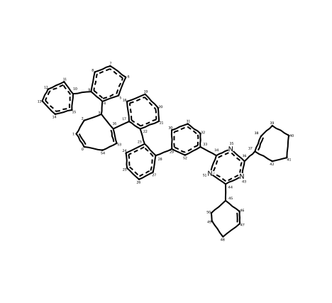 C1=CCC(c2ccccc2-c2ccccc2)C(c2ccccc2-c2ccccc2-c2cccc(-c3nc(C4=CCCCC4)nc(C4C=CCCC4)n3)c2)=CC1